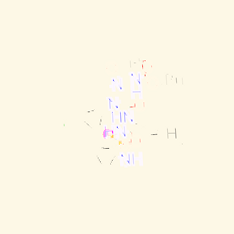 C=C[C@@H]1C[C@]1(NC(=O)[C@@H]1CN(C(=O)[C@@H](NC(=O)OC(C)(C)C)C(C)C)CCN1Cc1ccc(Cl)cc1)C(=O)NS(=O)(=O)c1cccc2c1NCC2